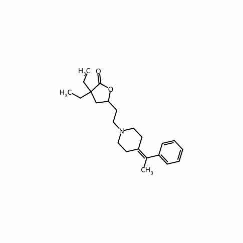 CCC1(CC)CC(CCN2CCC(=C(C)c3ccccc3)CC2)OC1=O